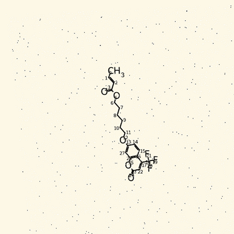 CC=CC(=O)OCCCCCCOc1ccc2c(C(F)(F)F)cc(=O)oc2c1